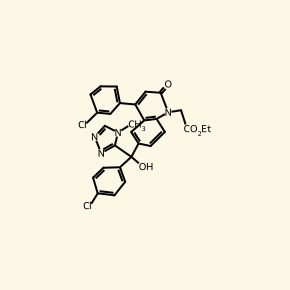 CCOC(=O)Cn1c(=O)cc(-c2cccc(Cl)c2)c2cc(C(O)(c3ccc(Cl)cc3)c3nncn3C)ccc21